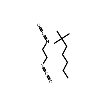 CCCCCC(C)(C)C.O=C=NCCN=C=O